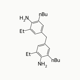 CCCCc1cc(Cc2cc(CC)c(N)c(CCCC)c2)cc(CC)c1N